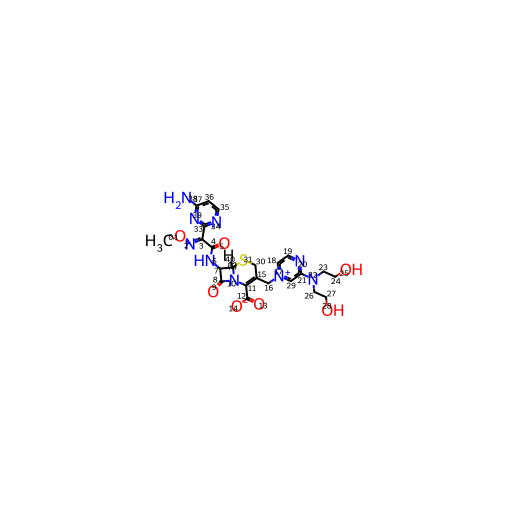 CON=C(C(=O)NC1C(=O)N2C(C(=O)[O-])=C(C[n+]3ccnc(N(CCO)CCO)c3)CS[C@@H]12)c1nccc(N)n1